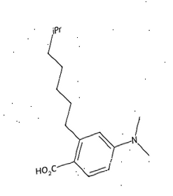 CC(C)CCCCCc1cc(N(C)C)ccc1C(=O)O